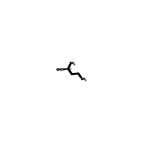 NCC[C@H](N)C=O